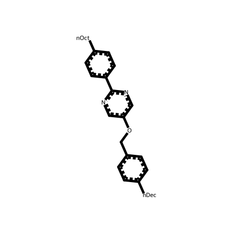 CCCCCCCCCCc1ccc(COc2cnc(-c3ccc(CCCCCCCC)cc3)nc2)cc1